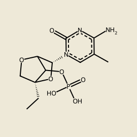 CC[C@]12COC(C1OP(=O)(O)O)[C@H](n1cc(C)c(N)nc1=O)O2